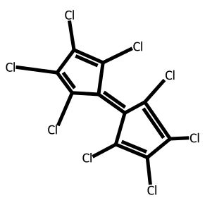 ClC1=C(Cl)C(=C2C(Cl)=C(Cl)C(Cl)=C2Cl)C(Cl)=C1Cl